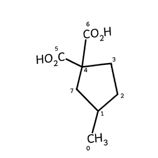 CC1CCC(C(=O)O)(C(=O)O)C1